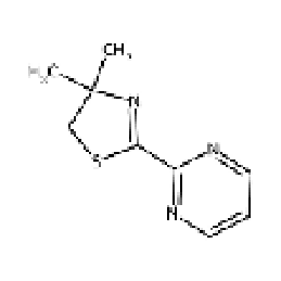 CC1(C)CSC(c2ncccn2)=N1